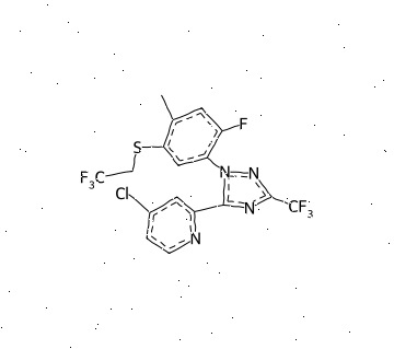 Cc1cc(F)c(-n2nc(C(F)(F)F)nc2-c2cc(Cl)ccn2)cc1SCC(F)(F)F